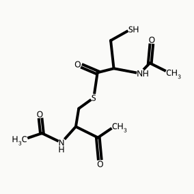 CC(=O)NC(CSC(=O)C(CS)NC(C)=O)C(C)=O